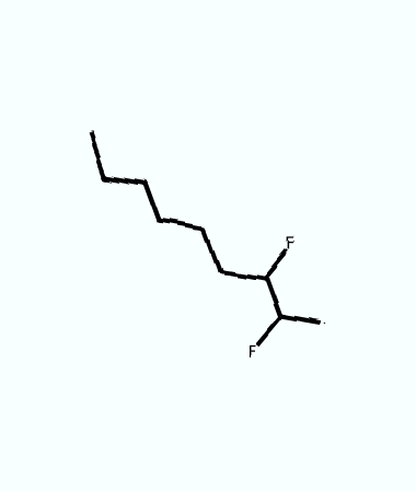 [CH2]C(F)C(F)CCCCCC